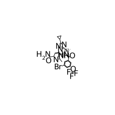 CC1N=C(C(N)=O)C=C(n2nc(C3CC3)nc2[C@H](C)NC(=O)c2cc(Br)cc(OC(F)(F)F)c2)N1